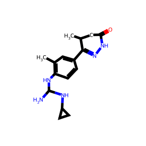 Cc1cc(C2=NNC(=O)CC2C)ccc1NC(N)NC1CC1